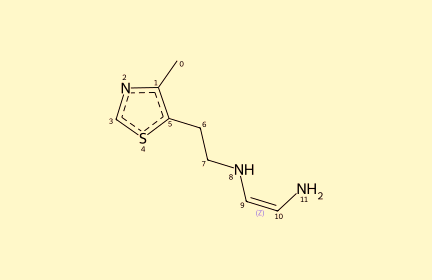 Cc1ncsc1CCN/C=C\N